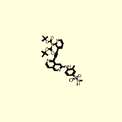 CNS(=O)(=O)c1ccc(Nc2cc3c(C#Cc4cccnc4N(C(=O)OC(C)(C)C)C(=O)OC(C)(C)C)nccc3cn2)c(C)c1